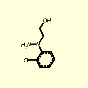 NN(CCO)c1ccccc1Cl